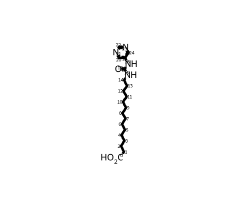 O=C(O)CCCCCCCCCCCCCCNC(=O)Nc1cncnc1